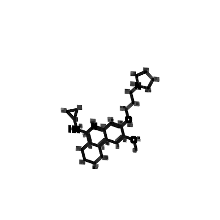 COc1cc2c3c(c(NC4CC4)nc2cc1OCCCN1CCCC1)CCCC3